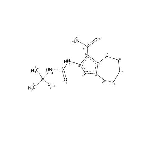 CC(C)(C)NC(=O)Nc1sc2c(c1C(N)=O)CCCCC2